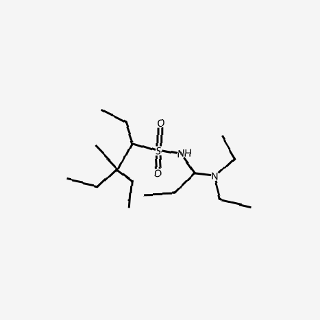 CCC(NS(=O)(=O)C(CC)C(C)(CC)CC)N(CC)CC